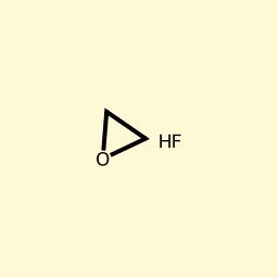 C1CO1.F